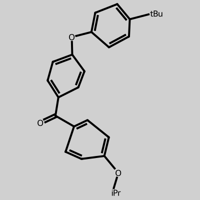 CC(C)Oc1ccc(C(=O)c2ccc(Oc3ccc(C(C)(C)C)cc3)cc2)cc1